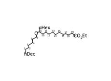 CCCCCCCCCCCCCCCCOC(CCCCCC)CCCCCCCCCCC(=O)OCC